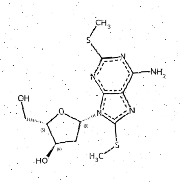 CSc1nc(N)c2nc(SC)n([C@@H]3C[C@@H](O)[C@H](CO)O3)c2n1